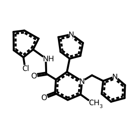 Cc1cc(=O)c(C(=O)Nc2ccccc2Cl)c(-c2ccncc2)n1Cc1ccccn1